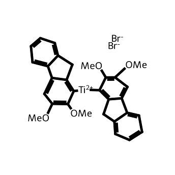 COc1cc2c([c]([Ti+2][c]3c4c(cc(OC)c3OC)-c3ccccc3C4)c1OC)Cc1ccccc1-2.[Br-].[Br-]